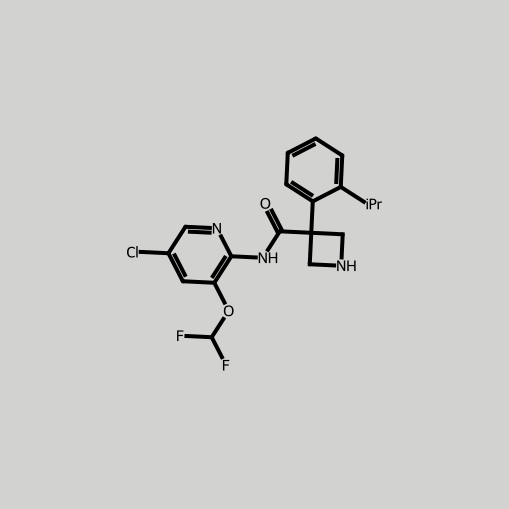 CC(C)c1ccccc1C1(C(=O)Nc2ncc(Cl)cc2OC(F)F)CNC1